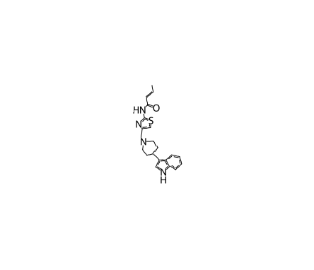 C/C=C/C(=O)Nc1nc(CN2CCC(c3c[nH]c4ccccc34)CC2)cs1